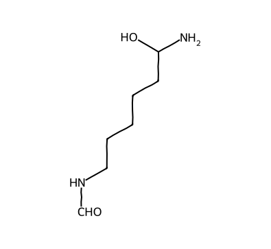 NC(O)CCCCCNC=O